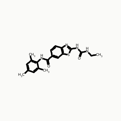 CCNC(=O)Nc1nc2ccc(C(=O)Nc3c(C)cc(C)cc3C)cc2s1